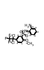 COc1ccc(C(Cl)(Cl)C(F)(F)F)cc1S(=O)(=O)Nc1ccccc1N